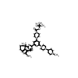 CN1CCC(N2CCN(c3cc(N4CCN(C(=O)OC(C)(C)C)CC4)cc(-c4noc(C5(C)CCCc6sc(N)c(C#N)c65)n4)n3)CC2)CC1